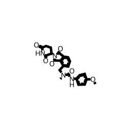 COc1ccc(NC(=O)N(C)Cc2cccc3c2C(=O)N(C2CCC(=O)NC2=O)C3=O)cc1